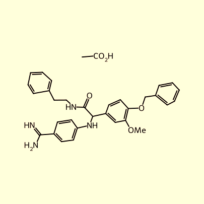 CC(=O)O.COc1cc(C(Nc2ccc(C(=N)N)cc2)C(=O)NCCc2ccccc2)ccc1OCc1ccccc1